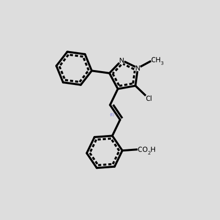 Cn1nc(-c2ccccc2)c(/C=C/c2ccccc2C(=O)O)c1Cl